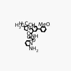 COc1ccccc1-c1cnc(N2CCC(C)C2(C)C)c(C(=O)NS(=O)(=O)c2cccc(N)n2)c1